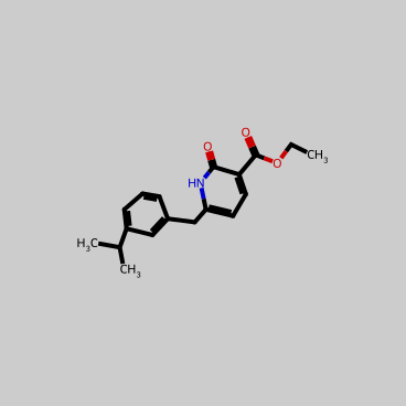 CCOC(=O)c1ccc(Cc2cccc(C(C)C)c2)[nH]c1=O